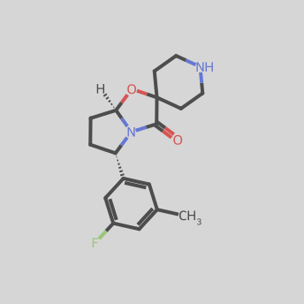 Cc1cc(F)cc([C@@H]2CC[C@H]3OC4(CCNCC4)C(=O)N32)c1